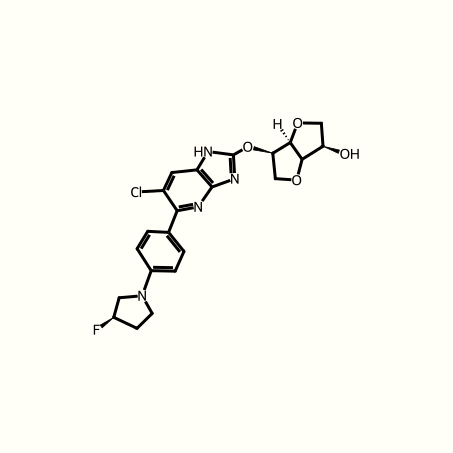 O[C@@H]1CO[C@H]2C1OC[C@H]2Oc1nc2nc(-c3ccc(N4CC[C@@H](F)C4)cc3)c(Cl)cc2[nH]1